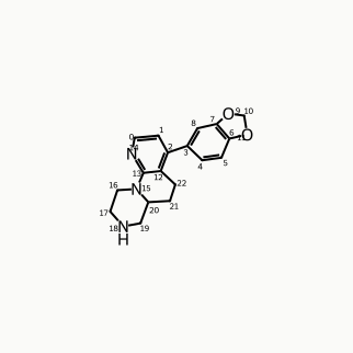 c1cc(-c2ccc3c(c2)OCO3)c2c(n1)N1CCNCC1CC2